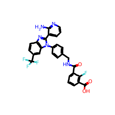 Nc1ncccc1-c1nc2ccc(C(F)(F)F)cc2n1-c1ccc(CNC(=O)c2cccc(C(=O)O)c2F)cc1